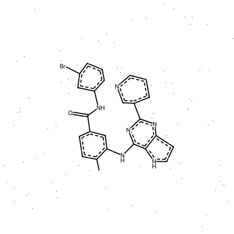 Cc1ccc(C(=O)Nc2cccc(Br)c2)cc1Nc1nc(-c2cccnc2)nc2cc[nH]c12